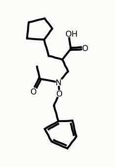 CC(=O)N(CC(CC1CCCC1)C(=O)O)OCc1ccccc1